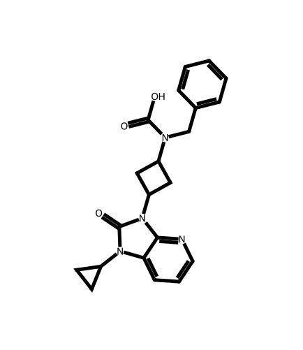 O=C(O)N(Cc1ccccc1)C1CC(n2c(=O)n(C3CC3)c3cccnc32)C1